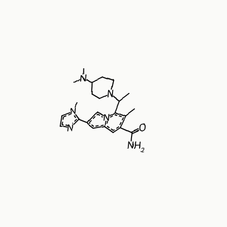 Cc1c(C(N)=O)cc2cc(-c3nccn3C)cn2c1C(C)N1CCC(N(C)C)CC1